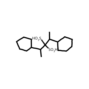 CC(C1CCCCC1)C(C(C)C1CCCCC1)(S(=O)(=O)O)S(=O)(=O)O